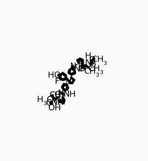 COC(=O)N[C@H](C(=O)N1CCC[C@H]1c1nc2ccc([C@H]3CC[C@H](c4ccc5nc([C@@H]6CCCN6C(=O)[C@@H](NC(=O)O)C(C)C)[nH]c5c4)N3c3ccc(O)c(F)c3)cc2[nH]1)C(C)C